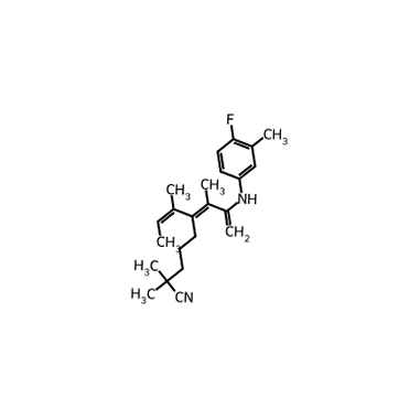 C=C(Nc1ccc(F)c(C)c1)/C(C)=C(CCCC(C)(C)C#N)/C(C)=C\C